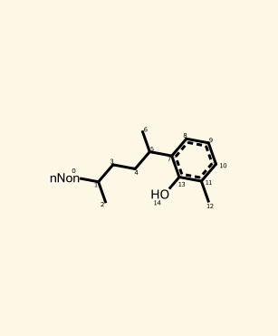 CCCCCCCCCC(C)CCC(C)c1cccc(C)c1O